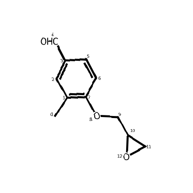 Cc1cc(C=O)ccc1OCC1CO1